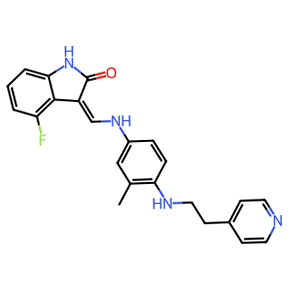 Cc1cc(NC=C2C(=O)Nc3cccc(F)c32)ccc1NCCc1ccncc1